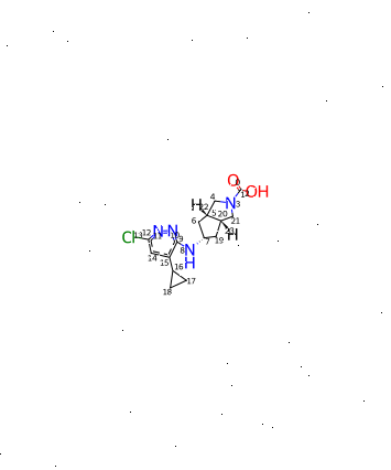 O=C(O)N1C[C@H]2C[C@@H](Nc3nnc(Cl)cc3C3CC3)C[C@H]2C1